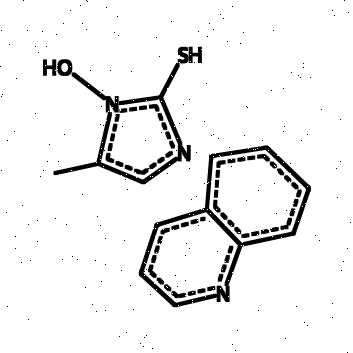 Cc1cnc(S)n1O.c1ccc2ncccc2c1